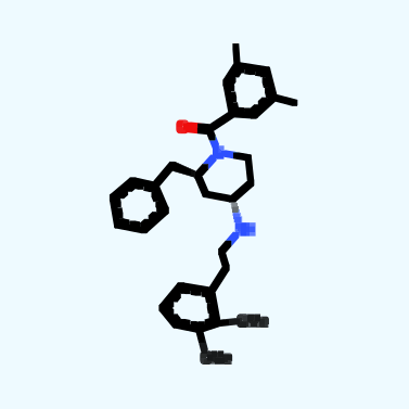 COc1cccc(CCN[C@H]2CCN(C(=O)c3cc(C)cc(C)c3)[C@H](Cc3ccccc3)C2)c1OC